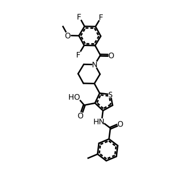 COc1c(F)c(F)cc(C(=O)N2CCCC(c3scc(NC(=O)c4cccc(C)c4)c3C(=O)O)C2)c1F